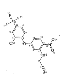 N#CCNc1cc(Oc2ccc(C(F)(F)F)cc2Cl)ccc1[N+](=O)[O-]